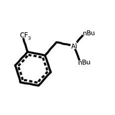 CCC[CH2][Al]([CH2]CCC)[CH2]c1ccccc1C(F)(F)F